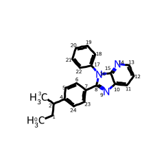 CCC(C)c1ccc(-c2nc3cccnc3n2-c2ccccc2)cc1